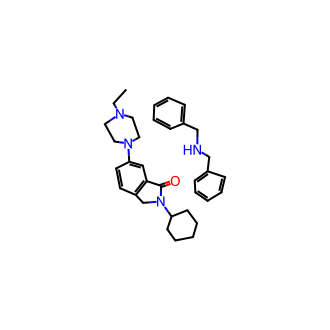 CCN1CCN(c2ccc3c(c2)C(=O)N(C2CCCCC2)C3)CC1.c1ccc(CNCc2ccccc2)cc1